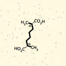 C[C@@H](CCCC[C@H](C)C(=O)O)C(=O)O